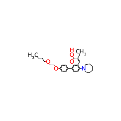 CCCCOCCOc1ccc(-c2ccc(N3CCCCCC3)c(C=C(CC)C(=O)O)c2)cc1